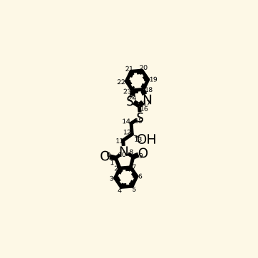 O=C1c2ccccc2C(=O)N1C[C@@H](O)CSc1nc2ccccc2s1